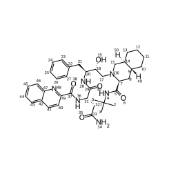 CC(C)(C)NC(=O)[C@@H]1C[C@H]2CCCC[C@@H]2CN1C[C@@H](O)[C@H](Cc1ccccc1)NC(=O)[C@H](CC(N)=O)NC(=O)c1ccc2ccccc2n1